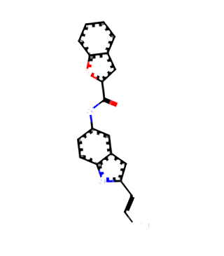 O=C(O)/C=C/c1cc2cc(NC(=O)c3cc4ccccc4o3)ccc2[nH]1